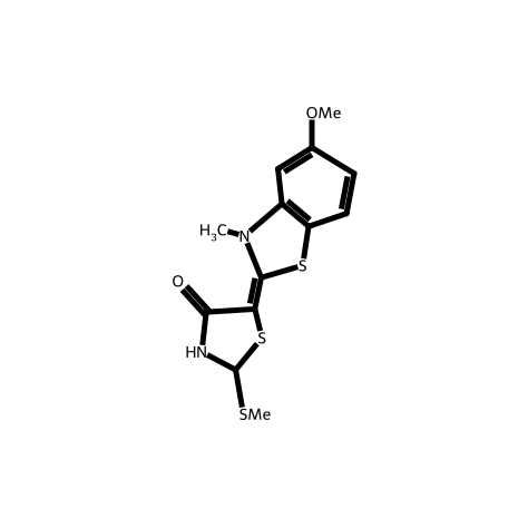 COc1ccc2c(c1)N(C)C(=C1SC(SC)NC1=O)S2